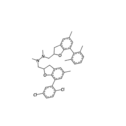 Cc1cc2c(c(-c3cc(Cl)ccc3Cl)c1)OC(CN(C)N(C)CC1Cc3cc(C)cc(-c4c(C)cccc4C)c3O1)C2